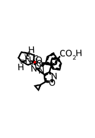 O=C(O)c1cccc(-c2nnc(N3[C@@H]4CC[C@H]3CC(OCc3c(-c5ccccc5OC(F)(F)F)noc3C3CC3)C4)o2)c1